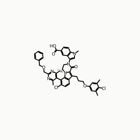 Cc1cc(OCCCc2c3n(c4c(-c5c(C)nc(COCc6ccccc6)nc5C)c(Cl)ccc24)[C@H](C)CN(c2cn(C)c4ccc(C(=O)O)cc24)C3=O)cc(C)c1Cl